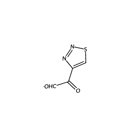 O=[C]C(=O)c1csnn1